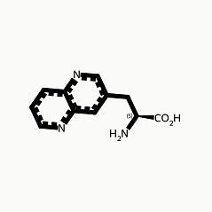 N[C@@H](Cc1cnc2cccnc2c1)C(=O)O